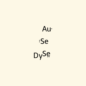 [Au].[Dy].[Se].[Se]